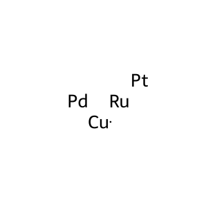 [Cu].[Pd].[Pt].[Ru]